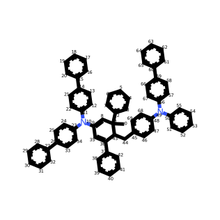 CC1(c2ccccc2)C=C(N(c2ccc(-c3ccccc3)cc2)c2ccc(-c3ccccc3)cc2)C=C(c2ccccc2)C1Cc1ccc(N(c2ccccc2)c2ccc(-c3ccccc3)cc2)cc1